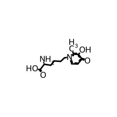 Cc1c(O)c(=O)ccn1CCCC[C@H](N)C(=O)O